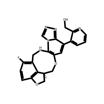 OCc1ncccc1-c1cc2c(n3cnnc13)NCc1c(F)ccc3c1[C@@H](CO3)CO2